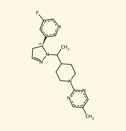 Cc1cnc(N2CCC(C(C)N3N=CC[C@H]3c3cncc(F)c3)CC2)nc1